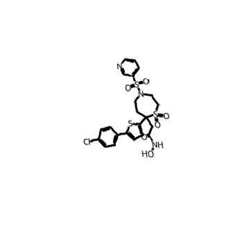 O=C(CC1(c2ccc(-c3ccc(Cl)cc3)s2)CCN(S(=O)(=O)c2cccnc2)CCS1(=O)=O)NO